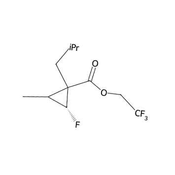 CC(C)CC1(C(=O)OCC(F)(F)F)C(C)[C@H]1F